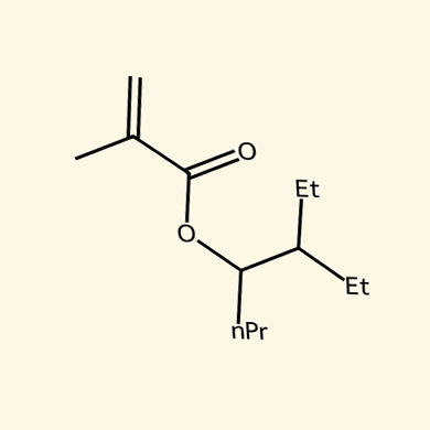 C=C(C)C(=O)OC(CCC)C(CC)CC